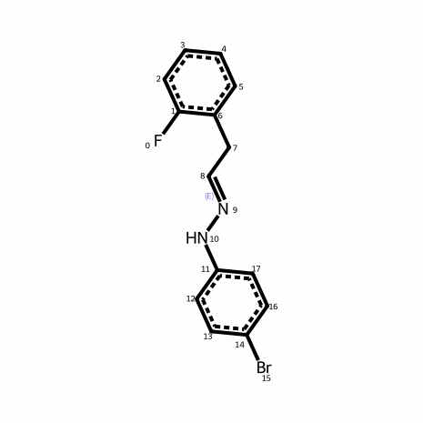 Fc1ccccc1C/C=N/Nc1ccc(Br)cc1